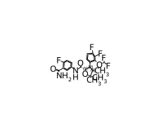 C[C@@H]1[C@H](c2ccc(F)c(F)c2OC(F)F)[C@@H](C(=O)Nc2ccc(F)c(C(N)=O)c2)OC1(C)C